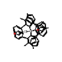 Cc1cc(-c2ccccc2)c([Si](Cl)(c2c(-c3ccccc3)cc(C)c(C)c2-c2ccccc2)c2c(-c3ccccc3)cc(C)c(C)c2-c2ccccc2)c(-c2ccccc2)c1C